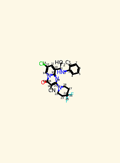 C[C@@H](Nc1ccccc1C(=O)O)c1cc(Cl)cn2c(=O)c(C#N)c(N3CCC(F)(F)CC3)nc12